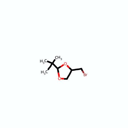 CC(C)(C)C1OCC(CBr)O1